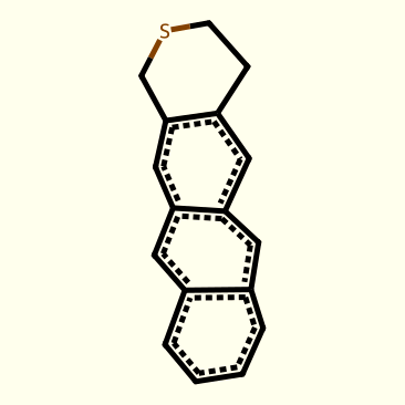 c1ccc2cc3cc4c(cc3cc2c1)CCSC4